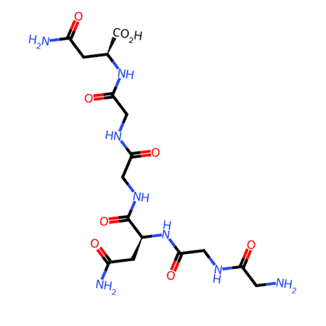 NCC(=O)NCC(=O)N[C@@H](CC(N)=O)C(=O)NCC(=O)NCC(=O)N[C@@H](CC(N)=O)C(=O)O